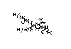 CCOC(=O)Nc1ccc(N(CCOC(=O)OCC)C(=O)OCC)nc1[N+](=O)[O-]